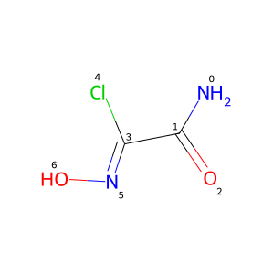 NC(=O)/C(Cl)=N/O